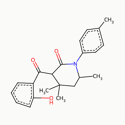 Cc1ccc(N2C(=O)C(C(=O)c3ccccc3O)C(C)(C)CC2C)cc1